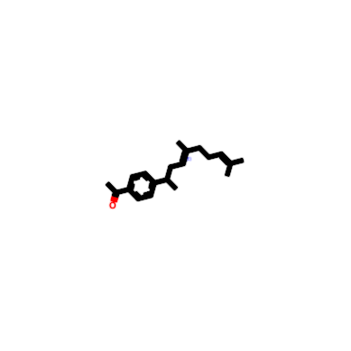 CC(=O)c1ccc(C(C)C/C=C(\C)CCC=C(C)C)cc1